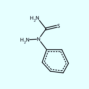 NC(=S)N(N)c1ccccc1